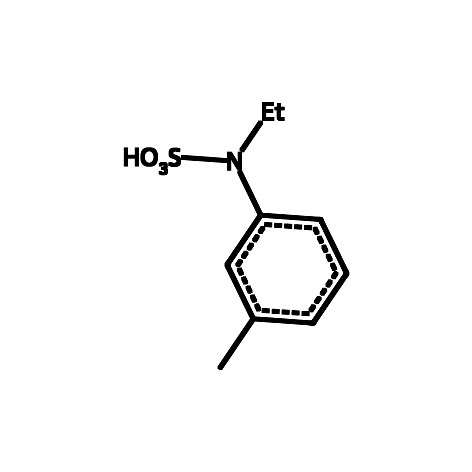 CCN(c1cccc(C)c1)S(=O)(=O)O